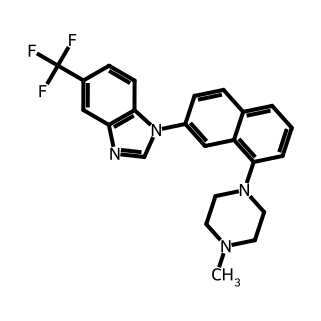 CN1CCN(c2cccc3ccc(-n4cnc5cc(C(F)(F)F)ccc54)cc23)CC1